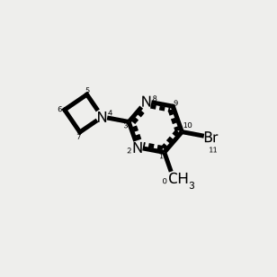 Cc1nc(N2CCC2)ncc1Br